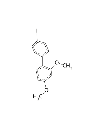 COc1ccc(-c2ccc(I)cc2)c(OC)c1